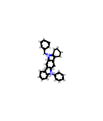 c1ccc(Cn2c3c(c4cc5c(cc42)c2ccccc2n5-c2ccccc2)CCCC3)cc1